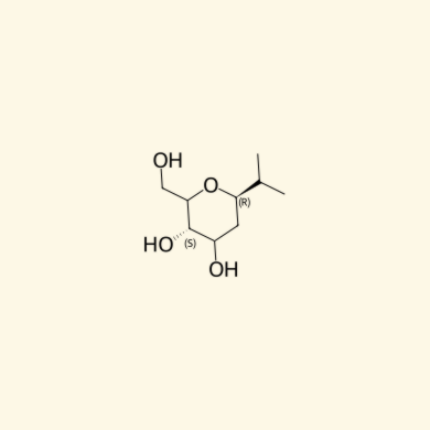 CC(C)[C@H]1CC(O)[C@H](O)C(CO)O1